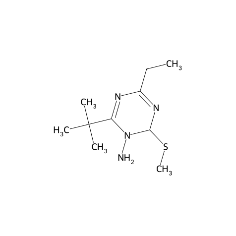 CCC1=NC(SC)N(N)C(C(C)(C)C)=N1